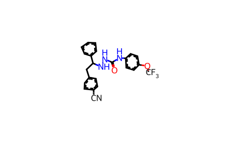 N#Cc1ccc(CC(NNC(=O)Nc2ccc(OC(F)(F)F)cc2)c2ccccc2)cc1